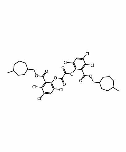 CC1CCCC(COC(=O)c2c(Cl)c(Cl)cc(Cl)c2OC(=O)C(=O)Oc2c(Cl)cc(Cl)c(Cl)c2C(=O)OCC2CCCC(C)CC2)CC1